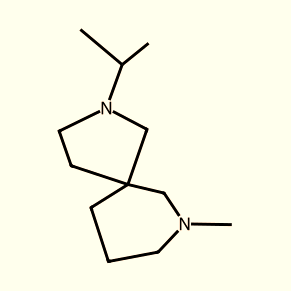 CC(C)N1CCC2(CCCN(C)C2)C1